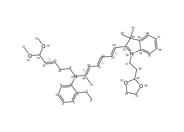 CCc1ccccc1N(CC/C=C/C(OC)OC)/C(C)=C/C=C/C=C/C1=[N+](CCC2OCCO2)c2ccccc2C1(C)C